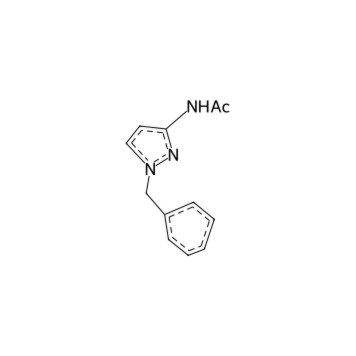 CC(=O)Nc1ccn(Cc2ccccc2)n1